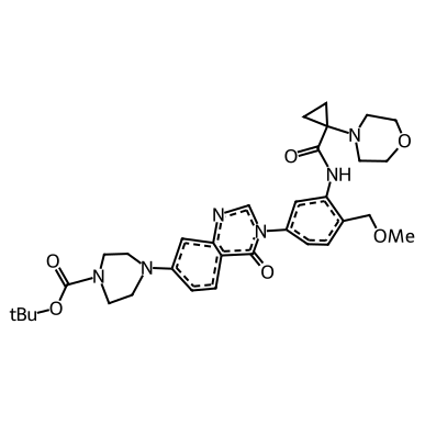 COCc1ccc(-n2cnc3cc(N4CCN(C(=O)OC(C)(C)C)CC4)ccc3c2=O)cc1NC(=O)C1(N2CCOCC2)CC1